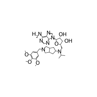 COc1cc(CN2CC3CC(N(C[C@H]4O[C@@H](n5cnc6c(N)ncnc65)[C@H](O)[C@@H]4O)C(C)C)CC3C2)cc(OC)c1OC